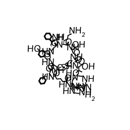 CC(O)C(NC(=O)[C@@H]1CSSC[C@H](NC(=O)[C@@H](Cc2ccccc2)NC(=O)CCCC(=O)N[C@]23CNCCNC[C@](N)(CNCCNC2)NCCN3)C(=O)N[C@@H](Cc2ccc(O)cc2)C(=O)N[C@H](Cc2c[nH]c3ccccc23)C(=O)N[C@@H](CCCCN)C(=O)NC(C(C)O)C(=O)N1)C(=O)O